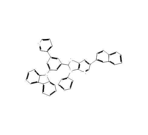 c1ccc(N2c3ncc(-c4ccc5ccccc5c4)cc3NC2c2cc(-c3cccnc3)cc(-n3c4ccccc4c4ccccc43)c2)cc1